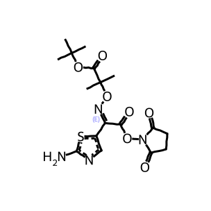 CC(C)(C)OC(=O)C(C)(C)O/N=C(\C(=O)ON1C(=O)CCC1=O)c1cnc(N)s1